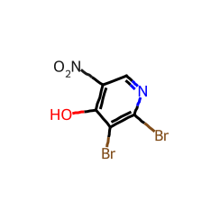 O=[N+]([O-])c1cnc(Br)c(Br)c1O